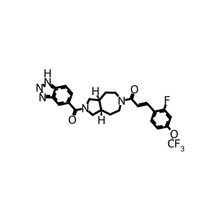 O=C(/C=C/c1ccc(OC(F)(F)F)cc1F)N1CC[C@@H]2CN(C(=O)c3ccc4[nH]nnc4c3)C[C@@H]2CC1